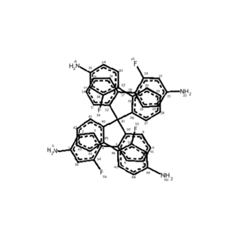 Nc1ccc(-c2ccccc2C(c2ccccc2-c2ccc(N)cc2F)(c2ccccc2-c2ccc(N)cc2F)c2ccccc2-c2ccc(N)cc2F)c(F)c1